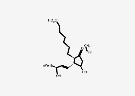 CCCC.CCCCC[C@H](O)/C=C/[C@H]1[C@H](O)CC(=O)[C@@H]1CCCCCCC(=O)O